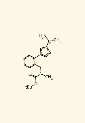 C[C@@H](N)c1cc(-c2ccccc2CN(C)C(=O)OC(C)(C)C)cs1